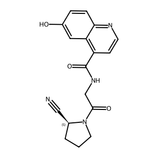 N#C[C@@H]1CCCN1C(=O)CNC(=O)c1ccnc2ccc(O)cc12